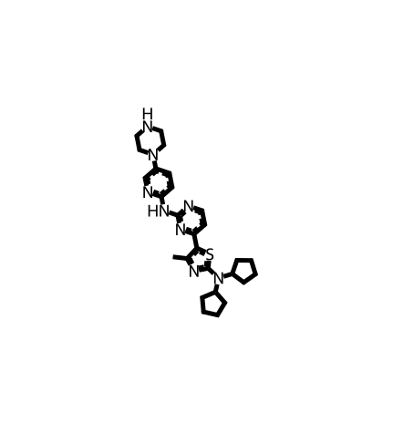 Cc1nc(N(C2CCCC2)C2CCCC2)sc1-c1ccnc(Nc2ccc(N3CCNCC3)cn2)n1